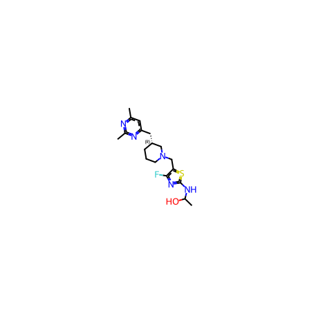 Cc1cc(C[C@H]2CCCN(Cc3sc(NC(C)O)nc3F)C2)nc(C)n1